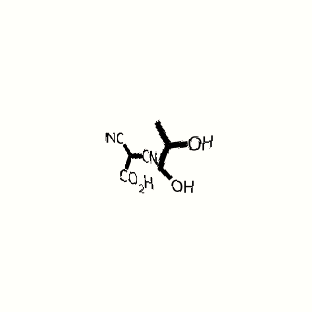 CC(O)CO.N#CC(C#N)C(=O)O